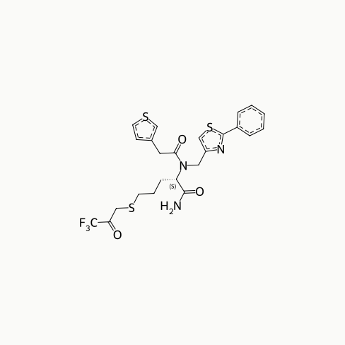 NC(=O)[C@H](CCCSCC(=O)C(F)(F)F)N(Cc1csc(-c2ccccc2)n1)C(=O)Cc1ccsc1